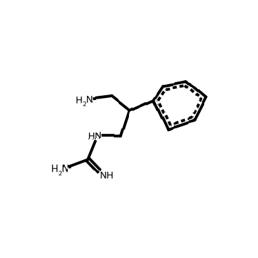 N=C(N)NCC(CN)c1ccccc1